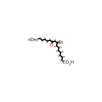 CCCCCCCCCCCCCCCC(=O)CC(CC)CCCCCCCC(=O)O